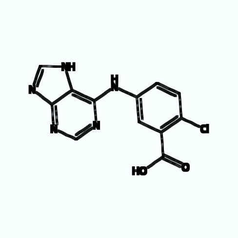 O=C(O)c1cc(Nc2ncnc3nc[nH]c23)ccc1Cl